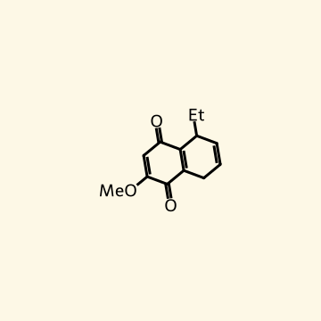 CCC1C=CCC2=C1C(=O)C=C(OC)C2=O